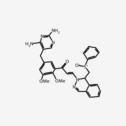 COc1cc(Cc2cnc(N)nc2N)cc(C(=O)/C=C/N2N=Cc3ccccc3C2C[S+]([O-])c2ccccc2)c1OC